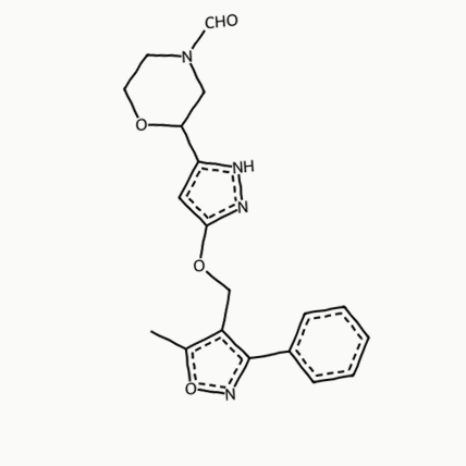 Cc1onc(-c2ccccc2)c1COc1cc(C2CN(C=O)CCO2)[nH]n1